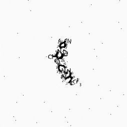 N#Cc1ccc(-n2cc(Cl)c(OC3CCN(c4ncc(CCC(F)(F)F)cn4)CC3)cc2=O)cc1F